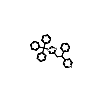 c1ccc(C(Cc2cn(C(c3ccccc3)(c3ccccc3)c3ccccc3)cn2)c2ccncc2)cc1